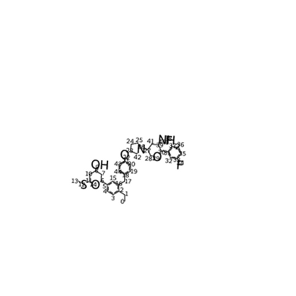 CCc1ccc(C2CC(O)CC(SC)O2)cc1Cc1ccc(OC2CCN(C3COC(c4cc(F)ccc4F)C(N)C3)C2)cc1